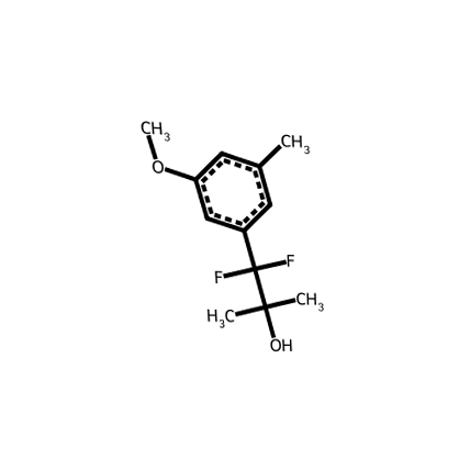 COc1cc(C)cc(C(F)(F)C(C)(C)O)c1